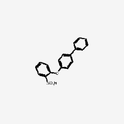 O=S(=O)(O)c1ccccc1Oc1ccc(-c2ccccc2)cc1